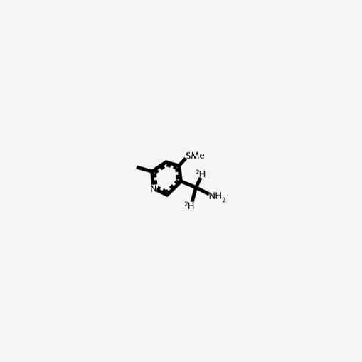 [2H]C([2H])(N)c1cnc(C)cc1SC